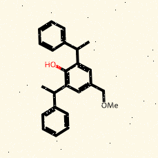 COCc1cc(C(C)c2ccccc2)c(O)c(C(C)c2ccccc2)c1